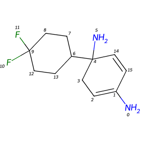 NC1=CCC(N)(C2CCC(F)(F)CC2)C=C1